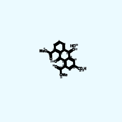 COC(=O)c1cccc2c1C(=O)c1c(C(=O)OC)cc(C(=O)O)cc1C2=O.Cl